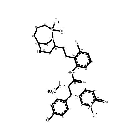 CC(C)n1cc([C@H](c2ccc(Cl)cc2)[C@H](NC(=O)O)C(=O)Nc2cccc(F)c2CCC2CNC3CCCS(O)(O)N2C3)ccc1=O